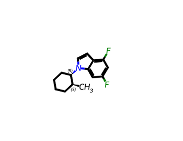 C[C@H]1CCCC[C@H]1n1ccc2c(F)cc(F)cc21